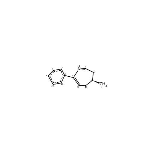 C[C@@H]1CC=NC(c2ccccc2)=CC1